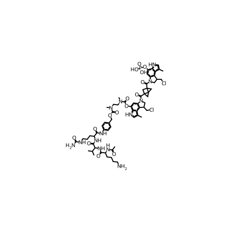 CC(=O)NC(CCCCN)C(=O)NC(C(=O)NC(CCCNC(N)=O)C(=O)Nc1ccc(COC(=O)N(C)CCN(C)C(=O)Oc2cc3c(c4c(C)c[nH]c24)C(CCl)CN3C(=O)C23CC4(C(=O)N5CC(CCl)c6c5cc(OP(=O)(O)O)c5[nH]cc(C)c65)CC24C3)cc1)C(C)C